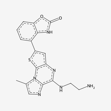 Cc1cnc2c(NCCN)nc3cc(-c4cccc5oc(=O)[nH]c45)sc3n12